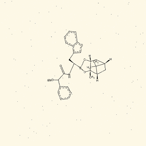 COC(C(=O)N[C@@H](Cc1coc2ccccc12)B1O[C@@H]2C[C@@H]3C[C@@H](C3(C)C)[C@]2(C)O1)c1ccccc1